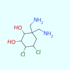 NCC1(CN)CC(Cl)C(Cl)C(O)C1O